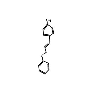 Oc1ccc(C=CCOc2ccccc2)cc1